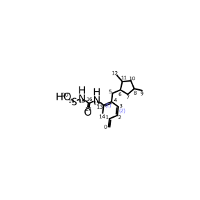 C=C/C=C\C(CC1CC(C)CC1C)=C(/C)NC(=O)NSO